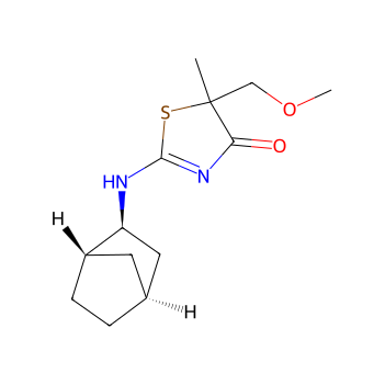 COCC1(C)SC(N[C@H]2C[C@H]3CC[C@H]2C3)=NC1=O